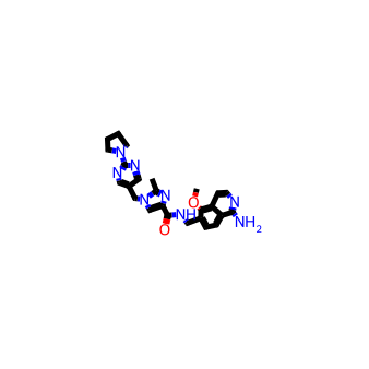 COc1c(CNC(=O)c2cn(Cc3cnc(N4CCCC4)nc3)c(C)n2)ccc2c(N)nccc12